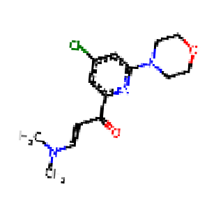 CN(C)C=CC(=O)c1cc(Cl)cc(N2CCOCC2)n1